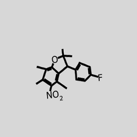 Cc1c(C)c([N+](=O)[O-])c(C)c2c1OC(C)(C)C2c1ccc(F)cc1